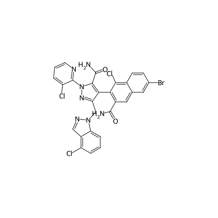 NC(=O)c1cc2cc(Br)ccc2c(Cl)c1-c1c(Cn2ncc3c(Cl)cccc32)nn(-c2ncccc2Cl)c1C(N)=O